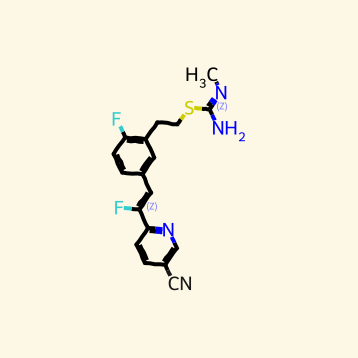 C/N=C(/N)SCCc1cc(/C=C(\F)c2ccc(C#N)cn2)ccc1F